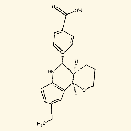 CCc1ccc2c(c1)[C@@H]1OCCC[C@@H]1[C@@H](c1ccc(C(=O)O)cc1)N2